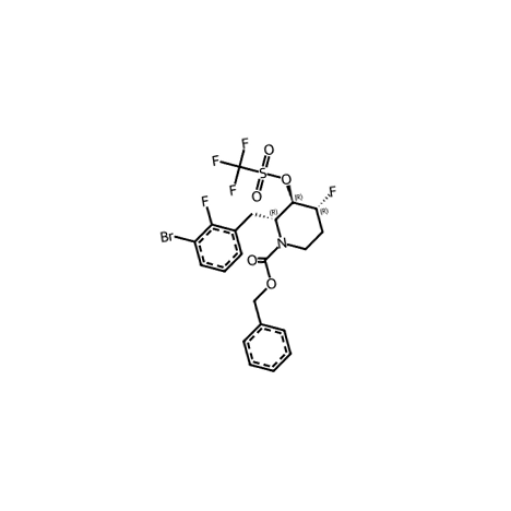 O=C(OCc1ccccc1)N1CC[C@@H](F)[C@H](OS(=O)(=O)C(F)(F)F)[C@H]1Cc1cccc(Br)c1F